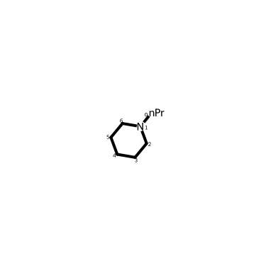 [CH2]CCN1CCCCC1